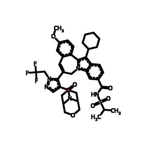 COc1ccc2c(c1)C=C(c1c(C(=O)N3C4COCC3COC4)cnn1CC(F)(F)F)Cn1c-2c(C2CCCCC2)c2ccc(C(=O)NS(=O)(=O)C(C)C)cc21